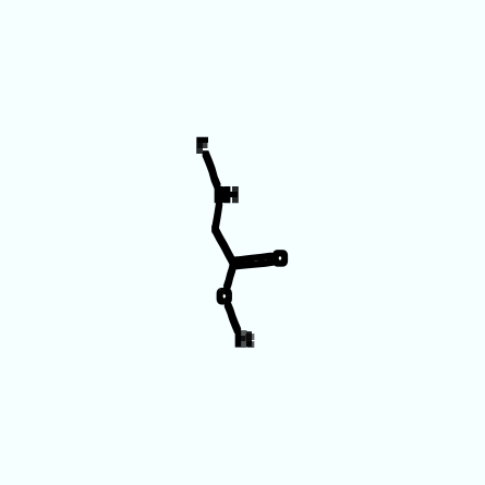 CCOC(=O)CBF